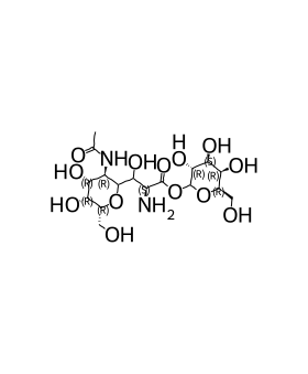 CC(=O)N[C@H]1C(C(O)[C@H](N)C(=O)OC2O[C@H](CO)[C@H](O)[C@H](O)[C@H]2O)O[C@H](CO)[C@H](O)[C@@H]1O